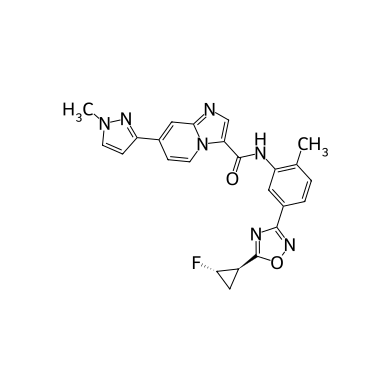 Cc1ccc(-c2noc([C@H]3C[C@@H]3F)n2)cc1NC(=O)c1cnc2cc(-c3ccn(C)n3)ccn12